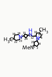 CNC1CCC(N2CC[C@@H](C)CC2CNC2CC(N3CCC(C)CC3)C2)C1